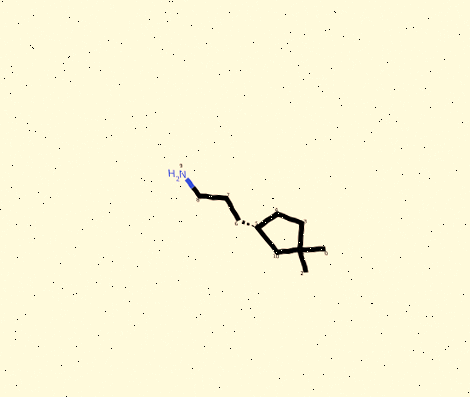 CC1(C)CC[C@@H](CCCN)C1